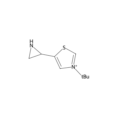 CC(C)(C)[n+]1csc(C2CN2)c1